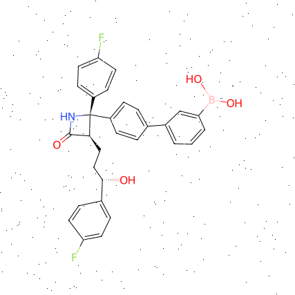 O=C1N[C@](c2ccc(F)cc2)(c2ccc(-c3cccc(B(O)O)c3)cc2)[C@H]1CC[C@H](O)c1ccc(F)cc1